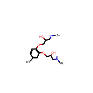 CCCc1ccc(OCC(O)CNC(C)(C)C)c(OCC(O)CNC(C)(C)C)c1